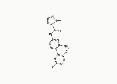 Cn1nccc1C(=O)Nc1ccc(-c2cc(F)ccc2Cl)c(N)n1